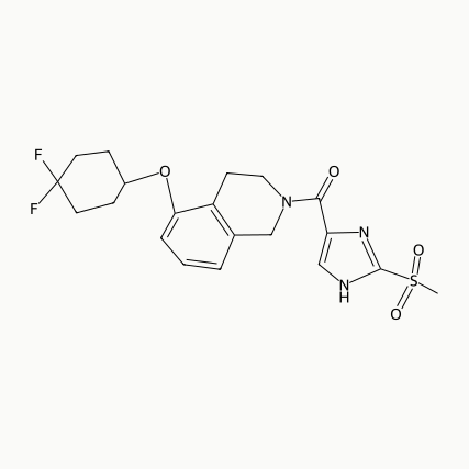 CS(=O)(=O)c1nc(C(=O)N2CCc3c(cccc3OC3CCC(F)(F)CC3)C2)c[nH]1